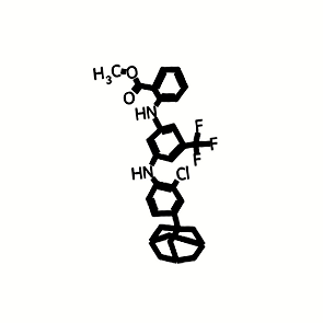 COC(=O)c1ccccc1Nc1cc(Nc2ccc(C34CC5CC(CC(C5)C3)C4)cc2Cl)cc(C(F)(F)F)c1